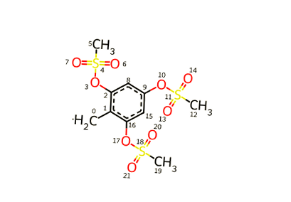 [CH2]c1c(OS(C)(=O)=O)cc(OS(C)(=O)=O)cc1OS(C)(=O)=O